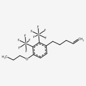 C=CCCCc1ccc(OCCC)c(S(F)(F)(F)(F)F)c1S(F)(F)(F)(F)F